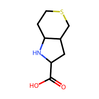 O=C(O)C1CC2CSCCC2N1